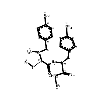 CC(C)C[C@@H](C(=O)N[C@@H](Cc1ccc(N)cc1)C(=O)NC(C)(C)C)N(C)Cc1ccc(C(C)(C)C)cc1